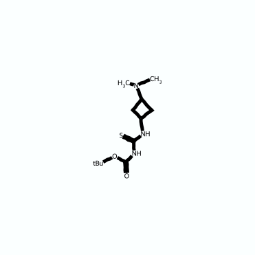 CN(C)C1CC(NC(=S)NC(=O)OC(C)(C)C)C1